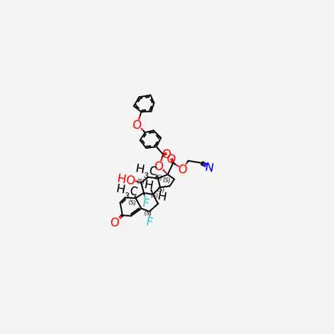 C[C@]12C=CC(=O)C=C1[C@@H](F)C[C@H]1[C@@H]3CC[C@@](OC(=O)c4ccc(Oc5ccccc5)cc4)(C(=O)OCC#N)[C@@]3(C)C[C@H](O)C12F